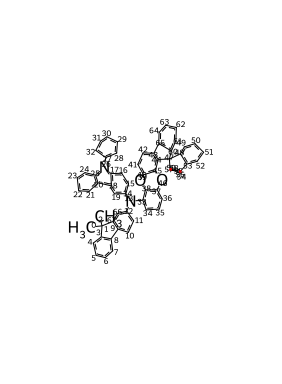 CC1(C)c2ccccc2-c2ccc(N(c3ccc4c(c3)c3ccccc3n4-c3ccccc3)c3cccc4c3Oc3ccc5c(c3O4)C3(c4ccccc4-c4ccccc43)c3ccccc3-5)cc21